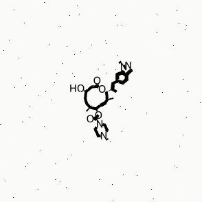 C/C(=C\c1ccc2cnn(C)c2c1)[C@H]1OC(=O)C[C@H](O)CC[C@H](C)[C@H](OC(=O)N2CCN(C)CC2)/C=C/[C@@H]1C